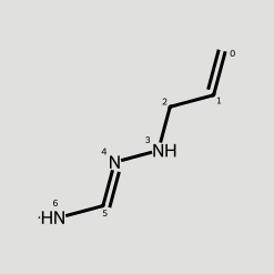 C=CCNN=C[NH]